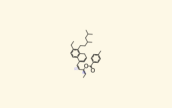 C/C=C(\C=C/C1=C=CCc2c1ccc(CC)c2CCC(C)CC(C)C)OC(=O)c1ccc(C)cc1